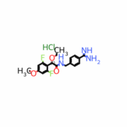 CCO[C@H](C(=O)NCc1ccc(C(=N)N)cc1)c1c(F)cc(OC)cc1F.Cl